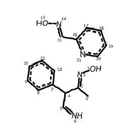 CC(=NO)C(C=N)c1ccccc1.ON=Cc1ccccn1